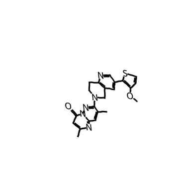 COc1ccsc1-c1cnc2c(c1)CN(c1nn3c(=O)cc(C)nc3cc1C)CC2